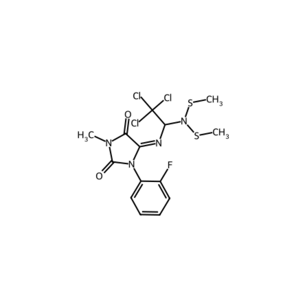 CSN(SC)C(N=C1C(=O)N(C)C(=O)N1c1ccccc1F)C(Cl)(Cl)Cl